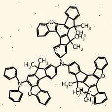 CC1(C)c2cc(N(c3ccc4c(c3)C(C)(C)c3c5c(c6oc7ccccc7c6c3-4)-c3ccccc3C5(C)C)c3ccc4c(c3)C(C)(C)c3c5c(c6oc7ccccc7c6c3-4)-c3ccccc3C5(C)C)ccc2-c2c1cc(N(c1ccccc1)c1ccccc1)c1oc3ccccc3c21